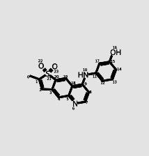 CC1=Cc2cc3nccc(Nc4cccc(O)c4)c3cc2S1(=O)=O